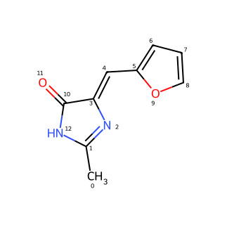 CC1=N/C(=C\c2ccco2)C(=O)N1